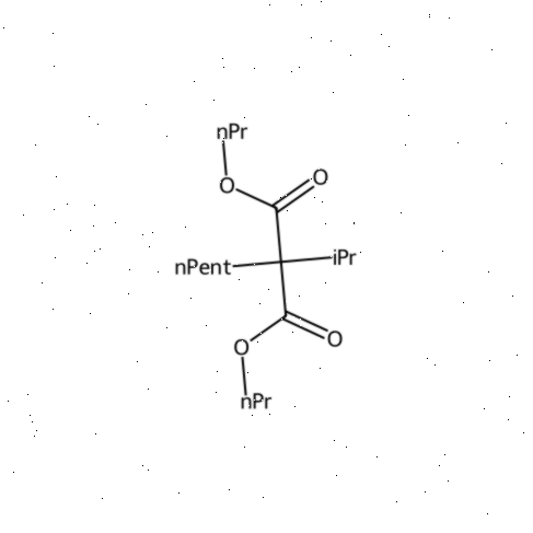 CCCCCC(C(=O)OCCC)(C(=O)OCCC)C(C)C